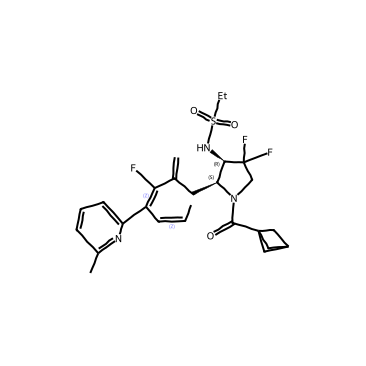 C=C(C[C@H]1[C@@H](NS(=O)(=O)CC)C(F)(F)CN1C(=O)C12CC(C1)C2)/C(F)=C(\C=C/C)c1cccc(C)n1